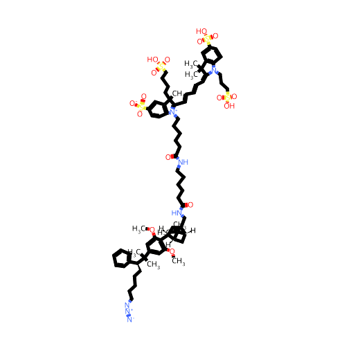 COc1cc(C(C)(C)[C@@H](CCCCCN=[N+]=[N-])c2ccccc2)cc(OC)c1[C@H]1C=C(CNC(=O)CCCCCNC(=O)CCCCC[N+]2=C(/C=C/C=C/C=C3/N(CCCS(=O)(=O)O)c4ccc(S(=O)(=O)O)cc4C3(C)C)C(C)(CCCCS(=O)(=O)O)c3cc(S(=O)(=O)[O-])ccc32)[C@H]2C[C@@H]1C2(C)C